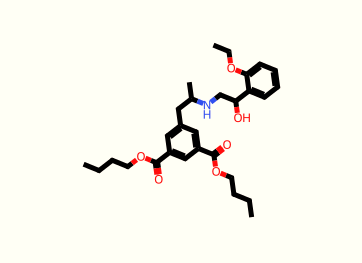 CCCCOC(=O)c1cc(CC(C)NCC(O)c2ccccc2OCC)cc(C(=O)OCCCC)c1